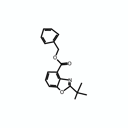 CC(C)(C)c1nc2c(C(=O)OCc3ccccc3)cccc2o1